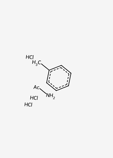 CC(N)=O.Cc1ccccc1.Cl.Cl.Cl